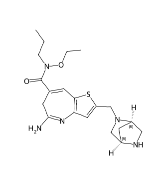 CCCN(OCC)C(=O)C1=Cc2sc(CN3C[C@H]4C[C@@H]3CN4)cc2N=C(N)C1